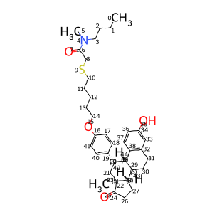 CCCCN(C)C(=O)CSCCCCCOc1ccc([C@H]2C[C@]3(C)C(=O)CC[C@H]3[C@@H]3CCc4cc(O)ccc4[C@H]32)cc1